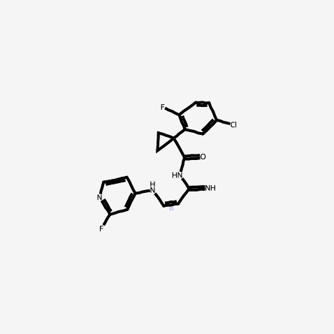 N=C(/C=C\Nc1ccnc(F)c1)NC(=O)C1(c2cc(Cl)ccc2F)CC1